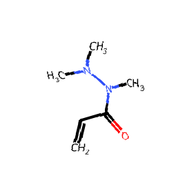 C=CC(=O)N(C)N(C)C